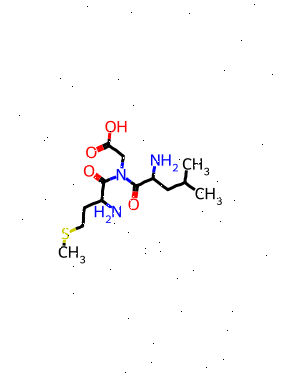 CSCCC(N)C(=O)N(CC(=O)O)C(=O)C(N)CC(C)C